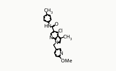 COc1ccc(Cn2cc(C)c3c(Cl)c(C(=O)Nc4ccc(C)cc4)cnc32)cn1